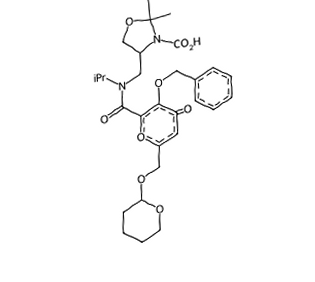 CC(C)N(CC1COC(C)(C)N1C(=O)O)C(=O)c1oc(COC2CCCCO2)cc(=O)c1OCc1ccccc1